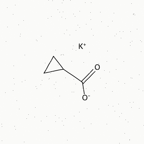 O=C([O-])C1CC1.[K+]